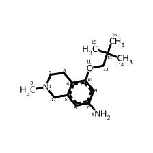 CN1CCc2c(cc(N)cc2OCC(C)(C)C)C1